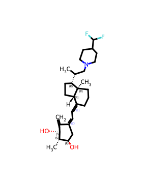 C=C1/C(=C\C=C2/CCC[C@]3(C)[C@@H](C(C)CN4CCC(C(F)F)CC4)CC[C@@H]23)C[C@@H](O)[C@H](C)[C@@H]1O